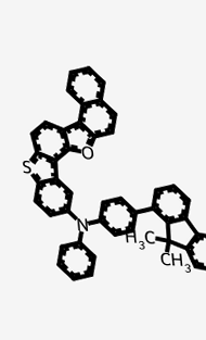 CC1(C)c2ccccc2-c2cccc(-c3ccc(N(c4ccccc4)c4ccc5sc6ccc7c(oc8ccc9ccccc9c87)c6c5c4)cc3)c21